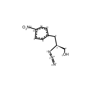 [N-]=[N+]=N[C@H](CO)Cc1ccc([N+](=O)[O-])cc1